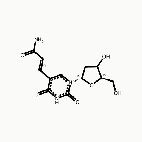 NC(=O)/C=C/c1cn([C@@H]2CC(O)[C@@H](CO)O2)c(=O)[nH]c1=O